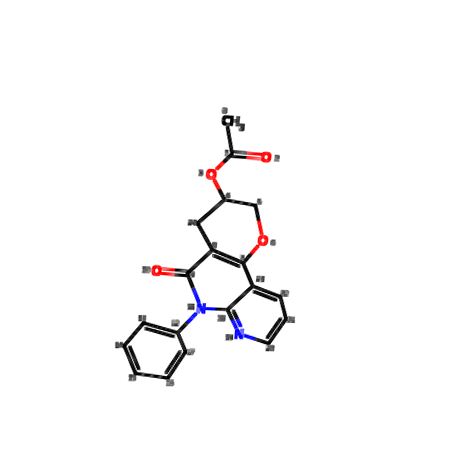 CC(=O)OC1COc2c(c(=O)n(-c3ccccc3)c3ncccc23)C1